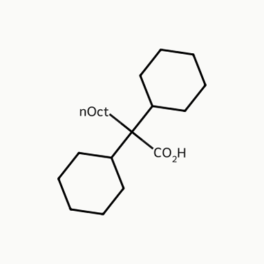 CCCCCCCCC(C(=O)O)(C1CCCCC1)C1CCCCC1